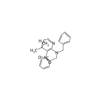 C=C(C)/C(=C(\N=C/C)N(Cc1ccccc1)Cc1ccccc1)[N+](=O)[O-]